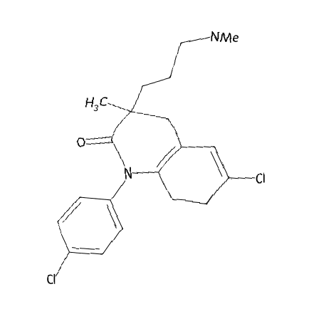 CNCCCC1(C)CC2=C(CCC(Cl)=C2)N(c2ccc(Cl)cc2)C1=O